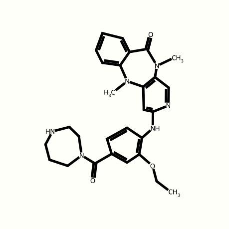 CCOc1cc(C(=O)N2CCCNCC2)ccc1Nc1cc2c(cn1)N(C)C(=O)c1ccccc1N2C